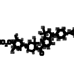 Cc1cc(N2CCN(C(=O)c3ccc4c(n3)C(C)(C)CN4c3ccc(C4CC4)cc3)C(C)(C)C2)nc(C)c1C(=O)O